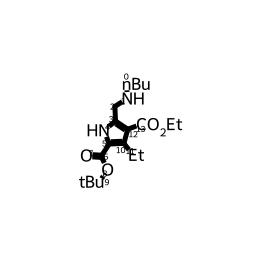 CCCCNCc1[nH]c(C(=O)OC(C)(C)C)c(CC)c1C(=O)OCC